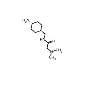 CN(C)CC(=O)NC[C@H]1CC[C@H](N)CC1